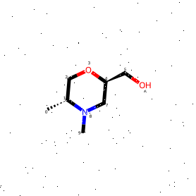 C[C@@H]1CO[C@@H](CO)CN1C